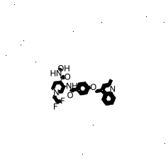 Cc1cc(COc2ccc(C(=O)N[C@@H]3CN(CC(F)F)CC[C@@H]3C(=O)NO)cc2)c2ccccc2n1